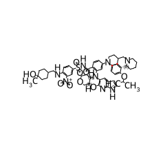 CC(C)Oc1ccccc1[C@H]1CCCCN1CC1CCN(c2ccc(C(=O)NS(=O)(=O)c3ccc(NCC4CCC(C)(O)CC4)c([N+](=O)[O-])c3)c(N3c4cc5cc[nH]c5nc4O[C@H]4COCC[C@@H]43)c2)CC1